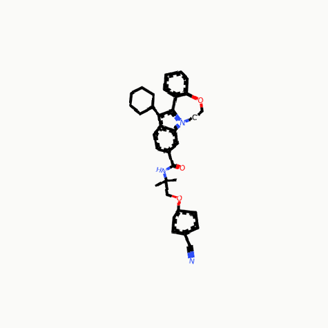 CC(C)(COc1ccc(C#N)cc1)NC(=O)c1ccc2c(C3CCCCC3)c3n(c2c1)CCOc1ccccc1-3